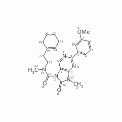 COc1cccc(-c2ncc3c(n2)n(C)c(=O)n3C(=O)N(C)CCC2=CCCCC2)c1